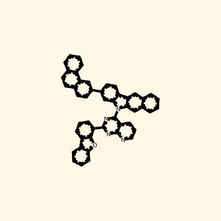 c1ccc2cc3c(cc2c1)c1ccc(-c2ccc4ccc5ccccc5c4c2)cc1n3-c1nc(-c2cccc3c2oc2ccccc23)nc2ncccc12